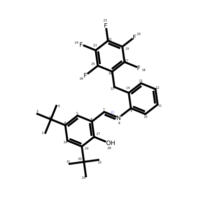 CC(C)(C)c1cc(/C=N/c2ccccc2Cc2c(F)c(F)c(F)c(F)c2F)c(O)c(C(C)(C)C)c1